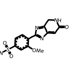 COc1cc(S(N)(=O)=O)ccc1C1=NC2=CC(=O)NCC2=N1